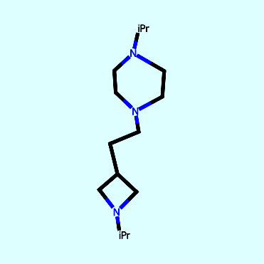 CC(C)N1CCN(CCC2CN(C(C)C)C2)CC1